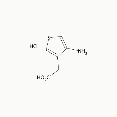 Cl.Nc1cscc1CC(=O)O